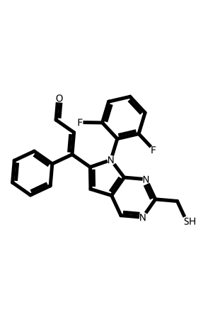 O=C/C=C(\c1ccccc1)c1cc2cnc(CS)nc2n1-c1c(F)cccc1F